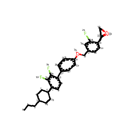 CCCC1CCC(c2ccc(-c3ccc(OCc4ccc(C5CO5)c(F)c4)cc3)c(F)c2F)CC1